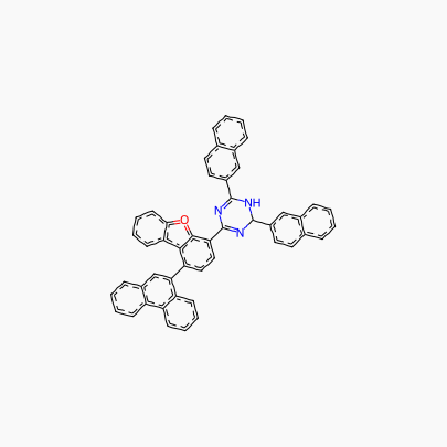 c1ccc2cc(C3=NC(c4ccc(-c5cc6ccccc6c6ccccc56)c5c4oc4ccccc45)=NC(c4ccc5ccccc5c4)N3)ccc2c1